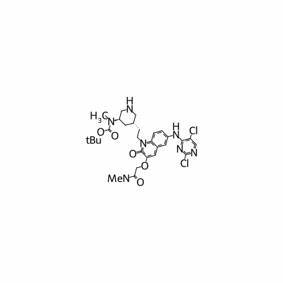 CNC(=O)COc1cc2cc(Nc3nc(Cl)ncc3Cl)ccc2n(CC[C@H]2CNC[C@H](N(C)C(=O)OC(C)(C)C)C2)c1=O